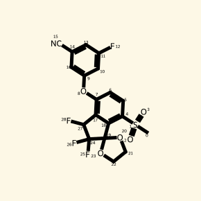 CS(=O)(=O)c1ccc(Oc2cc(F)cc(C#N)c2)c2c1C1(OCCO1)C(F)(F)C2F